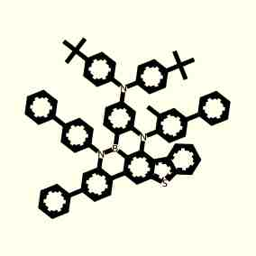 Cc1cc(-c2ccccc2)ccc1N1c2cc(N(c3ccc(C(C)(C)C)cc3)c3ccc(C(C)(C)C)cc3)ccc2B2c3c(cc4sc5ccccc5c4c31)-c1ccc(-c3ccccc3)cc1N2c1ccc(-c2ccccc2)cc1